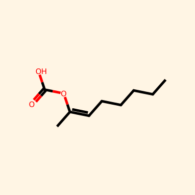 CCCCCC=C(C)OC(=O)O